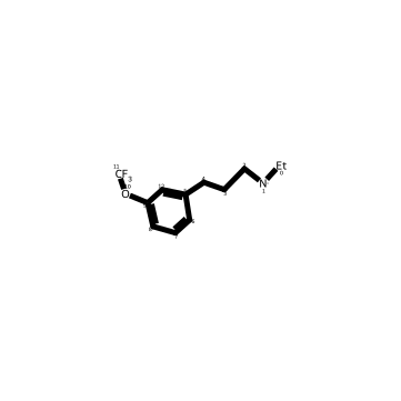 CC[N]CCCc1cccc(OC(F)(F)F)c1